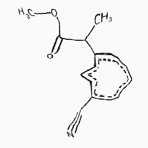 COC(=O)C(C)c1cccc(C#N)c1